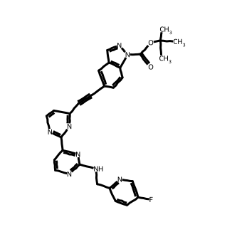 CC(C)(C)OC(=O)n1ncc2cc(C#Cc3ccnc(-c4ccnc(NCc5ccc(F)cn5)n4)n3)ccc21